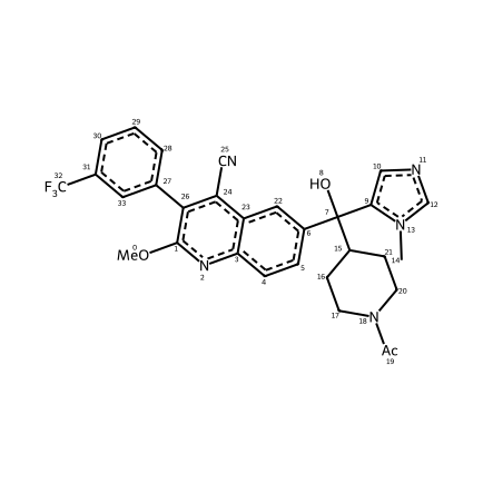 COc1nc2ccc(C(O)(c3cncn3C)C3CCN(C(C)=O)CC3)cc2c(C#N)c1-c1cccc(C(F)(F)F)c1